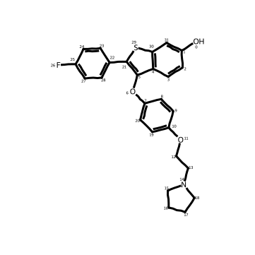 Oc1ccc2c(Oc3ccc(OCCN4CCCC4)cc3)c(-c3ccc(F)cc3)sc2c1